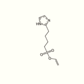 C=COS(=O)(=O)CCCCc1ncc[nH]1